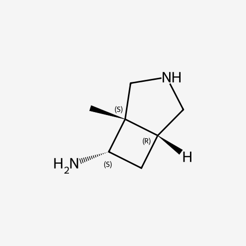 C[C@@]12CNC[C@@H]1C[C@@H]2N